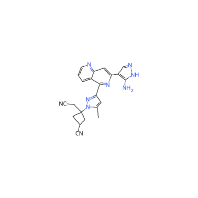 Cc1cc(-c2nc(-c3cn[nH]c3N)cc3ncccc23)nn1C1(CC#N)CC(C#N)C1